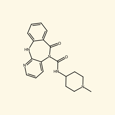 CN1CCC(NC(=O)N2C(=O)c3ccccc3Nc3ncccc32)CC1